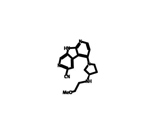 COCCN[C@@H]1CCN(c2ccnc3[nH]c4cnc(C#N)cc4c23)C1